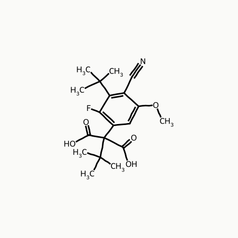 COc1cc(C(C(=O)O)(C(=O)O)C(C)(C)C)c(F)c(C(C)(C)C)c1C#N